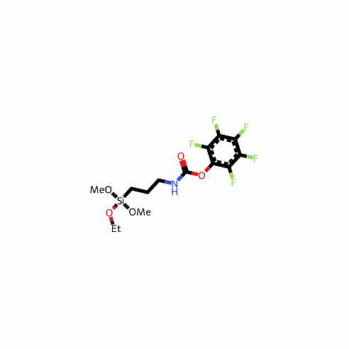 CCO[Si](CCCNC(=O)Oc1c(F)c(F)c(F)c(F)c1F)(OC)OC